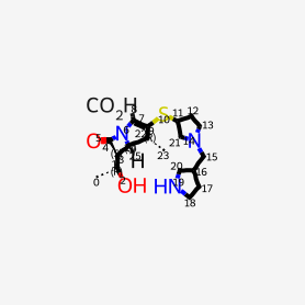 C[C@@H](O)[C@H]1C(=O)N2C(C(=O)O)=C(SC3CCN(CC4CCNC4)C3)[C@H](C)[C@H]12